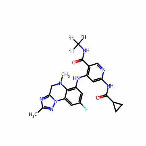 [2H]C([2H])([2H])NC(=O)c1cnc(NC(=O)C2CC2)cc1Nc1cc(F)cc2c1N(C)Cc1nc(C)nn1-2